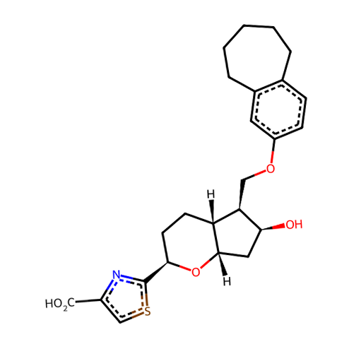 O=C(O)c1csc([C@H]2CC[C@@H]3[C@@H](COc4ccc5c(c4)CCCCC5)[C@@H](O)C[C@@H]3O2)n1